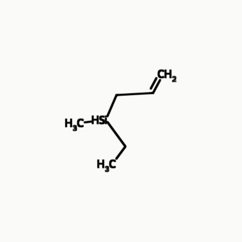 C=CC[SiH](C)CC